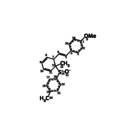 COc1ccc(/C=C/C2C=CC=CC2(C)[S+]([O-])c2ccc(C)cc2)cc1